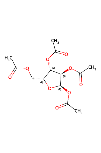 CC(=O)OC[C@H]1O[C@H](OC(C)=O)[C@H](OC(C)=O)[C@H]1OC(C)=O